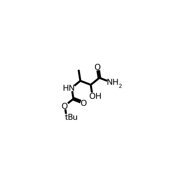 CC(NC(=O)OC(C)(C)C)C(O)C(N)=O